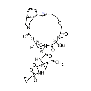 C=C[C@@H]1C[C@]1(NC(=O)[C@@H]1C[C@@H]2CN1C(=O)[C@H](C(C)(C)C)NC(=O)CCCC/C=C/c1cccc3c1CN(C3)C(=O)O2)C(=O)NS(=O)(=O)C1CC1